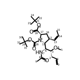 C=CC[C@@H](OC)[C@H](NC(C)=O)[C@H]1[C@H](/C=C\C)C[C@H](C(=O)OC(C)(C)C)N1C(=O)OC(C)(C)C